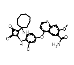 COc1cc2nccc(Oc3ccc(Nc4c(C5(N)CCCCCCC5)c(=O)c4=O)c(Cl)c3)c2cc1C(N)=O